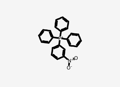 O=[N+]([O-])c1cccc([P+](c2ccccc2)(c2ccccc2)c2ccccc2)c1